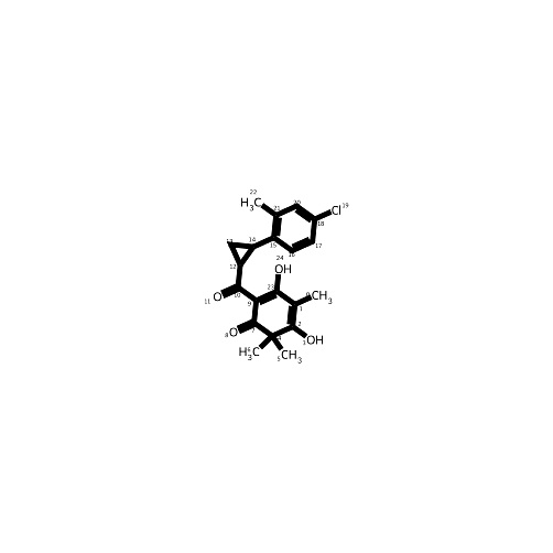 CC1=C(O)C(C)(C)C(=O)C(C(=O)C2CC2c2ccc(Cl)cc2C)=C1O